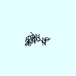 CCOc1cncc(-c2ccc(C(=O)N[C@H](CC)c3ccnc(NS(=O)(=O)C4CC4)n3)c(F)c2)n1